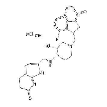 Cl.Cl.O=C1CCC2=CC=C(CN[C@H]3CCN(CC4Cn5c(=O)ccc6ccc(F)c4c65)C[C@H]3O)NC2=N1